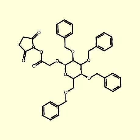 O=C(CO[C@@H]1OC(COCc2ccccc2)[C@H](OCc2ccccc2)C(OCc2ccccc2)C1OCc1ccccc1)ON1C(=O)CCC1=O